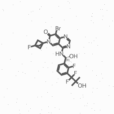 CC(C)(O)C(F)(F)c1cccc([C@@H](O)Nc2ncnc3c(Br)c(=O)n(C45CC(F)(C4)C5)cc23)c1F